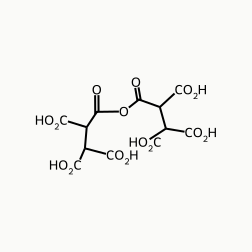 O=C(O)C(C(=O)O)C(C(=O)O)C(=O)OC(=O)C(C(=O)O)C(C(=O)O)C(=O)O